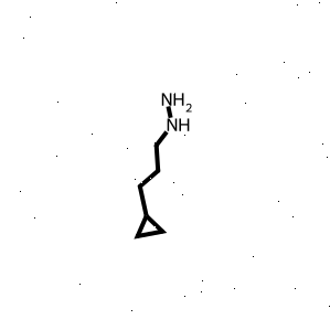 NNCCCC1CC1